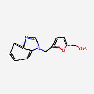 OCc1ccc(Cn2[c]nc3ccccc32)o1